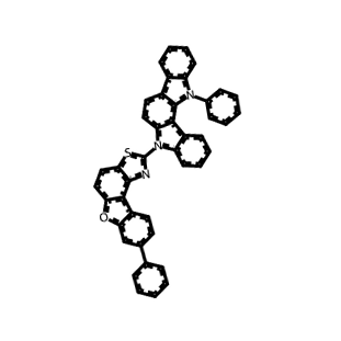 c1ccc(-c2ccc3c(c2)oc2ccc4sc(-n5c6ccccc6c6c5ccc5c7ccccc7n(-c7ccccc7)c56)nc4c23)cc1